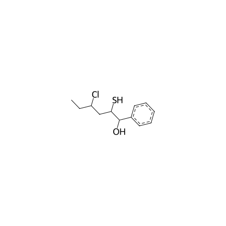 CCC(Cl)CC(S)C(O)c1ccccc1